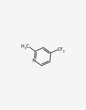 Cc1cc(C(F)(F)F)ccn1